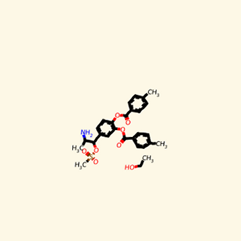 CCO.Cc1ccc(C(=O)Oc2ccc(C(OS(C)(=O)=O)C(C)N)cc2OC(=O)c2ccc(C)cc2)cc1